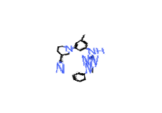 Cc1cc(Nc2ncn(-c3ccccc3)n2)cc(N2CCCC(C#N)C2)c1